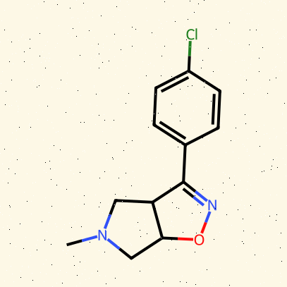 CN1CC2ON=C(c3ccc(Cl)cc3)C2C1